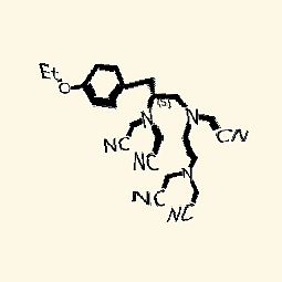 CCOc1ccc(C[C@@H](CN(CC#N)CCN(CC#N)CC#N)N(CC#N)CC#N)cc1